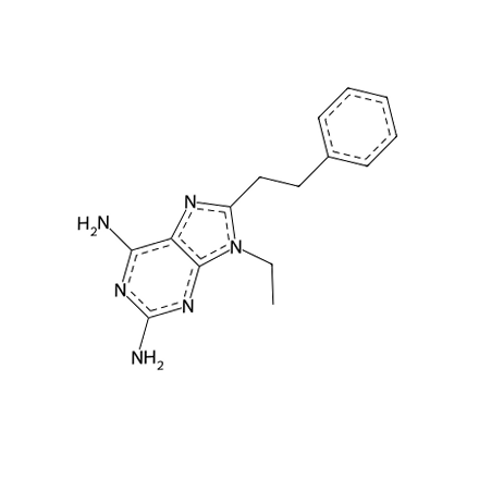 CCn1c(CCc2ccccc2)nc2c(N)nc(N)nc21